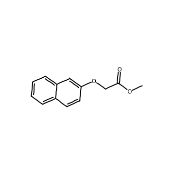 COC(=O)COc1[c]c2ccccc2cc1